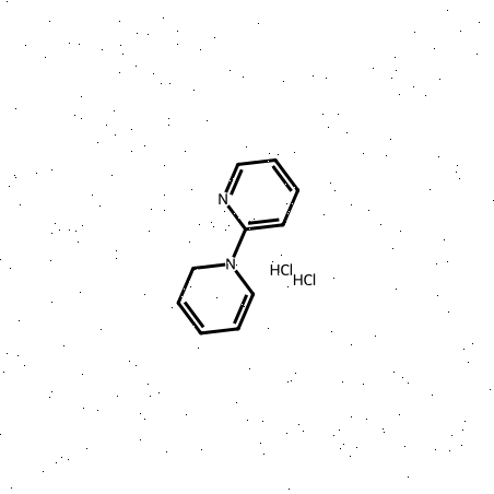 C1=CCN(c2ccccn2)C=C1.Cl.Cl